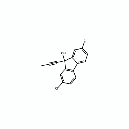 CC#CC1(O)c2cc(Cl)ccc2-c2ccc(Cl)cc21